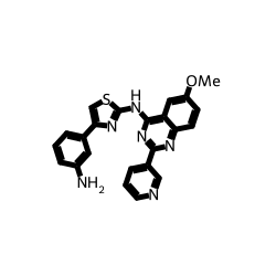 COc1ccc2nc(-c3cccnc3)nc(Nc3nc(-c4cccc(N)c4)cs3)c2c1